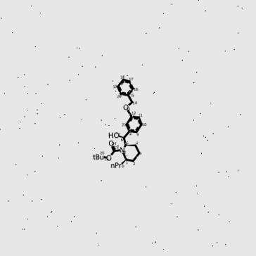 CCC[C@@H]1CCC[C@H]([C@@H](O)c2cccc(OCc3ccccc3)c2)N1C(=O)OC(C)(C)C